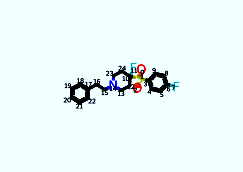 O=S(=O)(c1ccc(F)cc1)C1(F)CCN(CCc2ccccc2)CC1